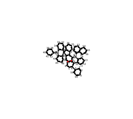 c1ccc(-c2ccccc2-c2ccccc2N(c2cccc3c2-c2ccccc2C32c3ccccc3N(c3ccccc3)c3ccccc32)c2cccc3ccccc23)cc1